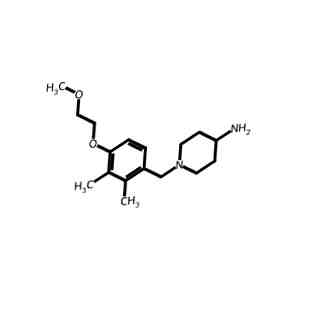 COCCOc1ccc(CN2CCC(N)CC2)c(C)c1C